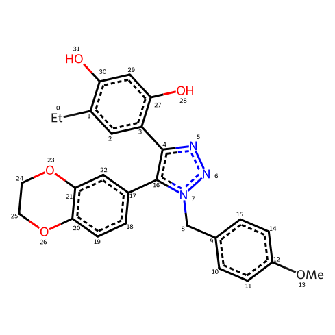 CCc1cc(-c2nnn(Cc3ccc(OC)cc3)c2-c2ccc3c(c2)OCCO3)c(O)cc1O